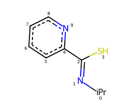 CC(C)/N=C(\S)c1ccccn1